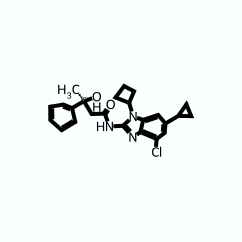 C[C@](O)(CC(=O)Nc1nc2c(Cl)cc(C3CC3)cc2n1C1CCC1)c1ccccc1